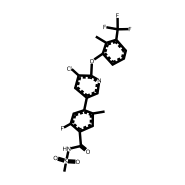 Cc1cc(C(=O)NS(C)(=O)=O)c(F)cc1-c1cnc(Oc2cccc(C(F)(F)F)c2C)c(Cl)c1